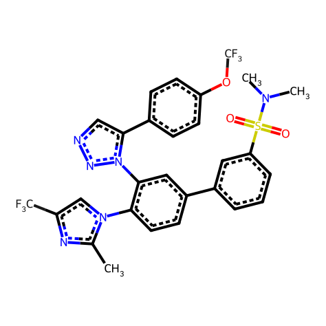 Cc1nc(C(F)(F)F)cn1-c1ccc(-c2cccc(S(=O)(=O)N(C)C)c2)cc1-n1nncc1-c1ccc(OC(F)(F)F)cc1